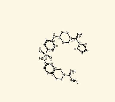 N=C(N)N1CCc2ccc(NS(=O)(=O)c3ccc(OC4CCN(C(=N)c5cccs5)CC4)cc3)cc2C1